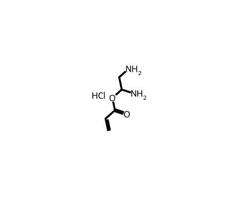 C=CC(=O)OC(N)CN.Cl